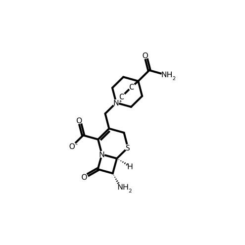 NC(=O)C12CC[N+](CC3=C(C(=O)[O-])N4C(=O)[C@@H](N)[C@@H]4SC3)(CC1)CC2